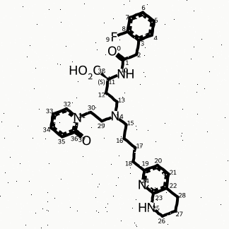 O=C(Cc1ccccc1F)N[C@@H](CCN(CCCCc1ccc2c(n1)NCCC2)CCn1ccccc1=O)C(=O)O